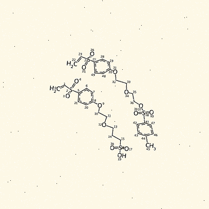 C=CS(=O)(=O)c1ccc(OCCOCCCS(=O)(=O)O)cc1.C=CS(=O)(=O)c1ccc(OCCOCCOS(=O)(=O)c2ccc(C)cc2)cc1